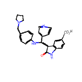 O=C1Nc2ccc(C(=O)O)cc2/C1=C(/Nc1ccc(CN2CCCC2)cc1)c1ccncc1